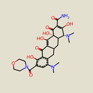 CN(C)c1cc(C(=O)N2CCOCC2)c(O)c2c1CC1CC3[C@@H](N(C)C)C(O)=C(C(N)=O)C(=O)[C@]3(O)C(O)=C1C2=O